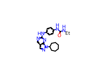 CCNC(=O)Nc1ccc(Nc2ncc3cnn(C4CCCCCC4)c3n2)cc1